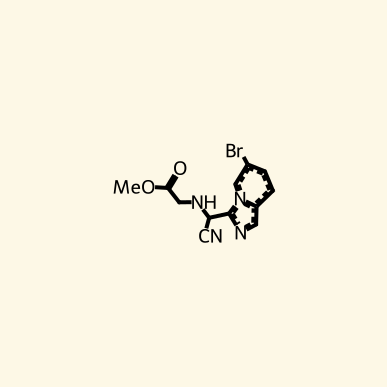 COC(=O)CNC(C#N)c1ncc2ccc(Br)cn12